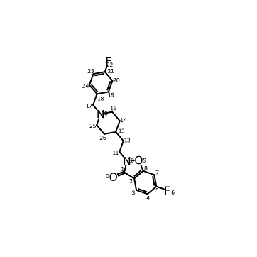 O=c1c2ccc(F)cc2on1CCC1CCN(Cc2ccc(F)cc2)CC1